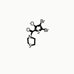 [O]c1c(C(=O)N2CCSCC2)sc(Br)c1Br